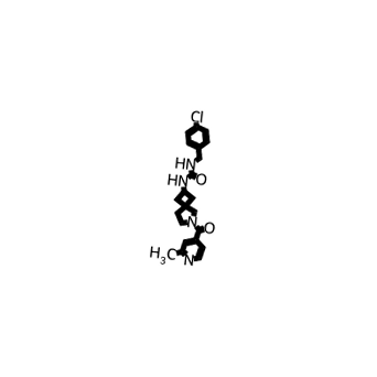 Cc1cc(C(=O)N2CCC3(CC(NC(=O)NCc4ccc(Cl)cc4)C3)C2)ccn1